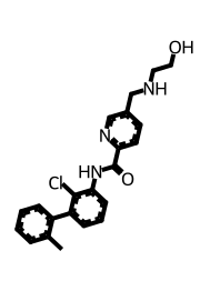 Cc1ccccc1-c1cccc(NC(=O)c2ccc(CNCCO)cn2)c1Cl